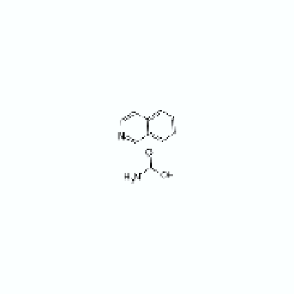 NC(=O)O.c1ccc2cnccc2c1